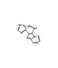 CC(C)(C)Nc1c(-c2ccncn2)nc2cnccn12